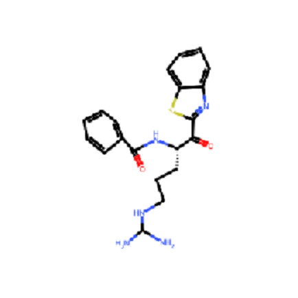 NC(N)NCCC[C@H](NC(=O)c1ccccc1)C(=O)c1nc2ccccc2s1